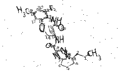 CCC[C@H]1CCCc2nc(C(=O)N[C@H]3COc4cc(C)cc(F)c4NC3=O)nn21